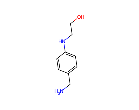 NCc1ccc(NCCO)cc1